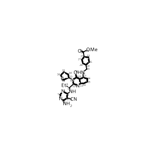 CC[C@H](Nc1ncnc(N)c1C#N)c1nc2cccc(NCc3ccc(C(=O)OC)cc3)c2c(=O)n1-c1ccccc1